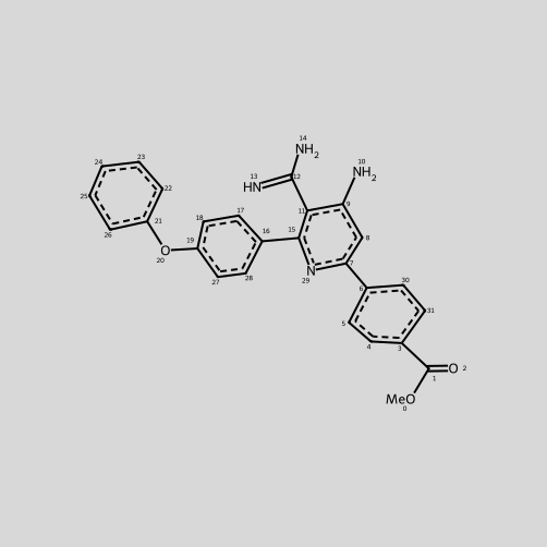 COC(=O)c1ccc(-c2cc(N)c(C(=N)N)c(-c3ccc(Oc4ccccc4)cc3)n2)cc1